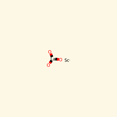 [O]=[La](=[O])=[O].[Sc]